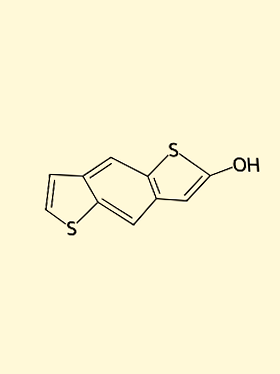 Oc1cc2cc3sccc3cc2s1